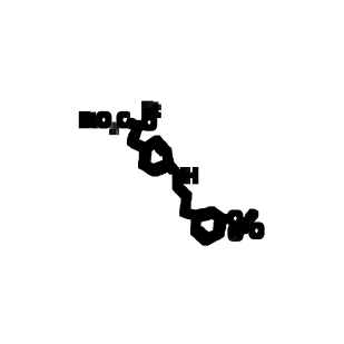 CCOC(=O)C(Cc1ccc(NCCCc2cccc(OS(C)(=O)=O)c2)cc1)OCC